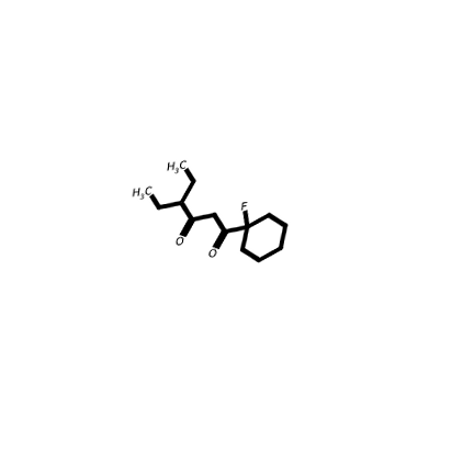 CCC(CC)C(=O)CC(=O)C1(F)CCCCC1